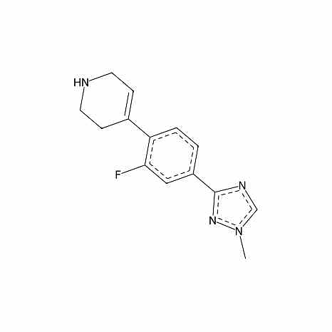 Cn1cnc(-c2ccc(C3=CCNCC3)c(F)c2)n1